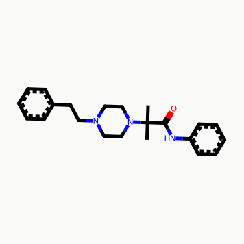 CC(C)(C(=O)Nc1ccccc1)N1CCN(CCc2ccccc2)CC1